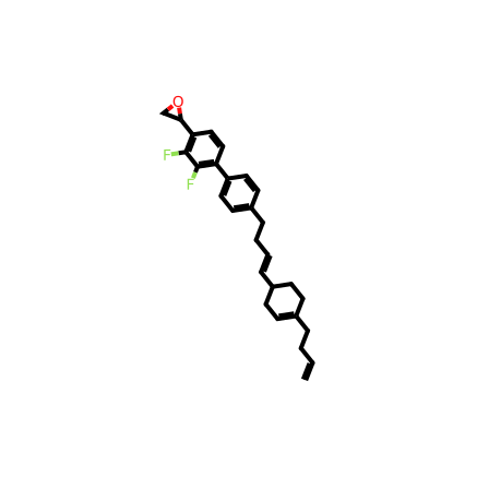 C=CCCC1=CCC(/C=C/CCc2ccc(-c3ccc(C4CO4)c(F)c3F)cc2)CC1